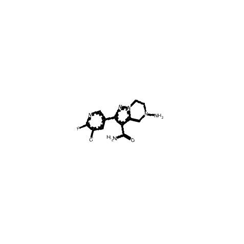 NC(=O)c1c(-c2cnc(F)c(Cl)c2)nn2c1CN(N)CC2